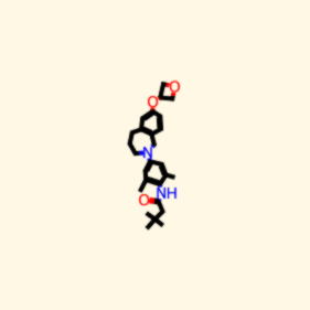 Cc1cc(N2CCCc3cc(OC4COC4)ccc3C2)cc(C)c1NC(=O)CC(C)(C)C